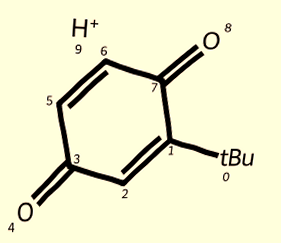 CC(C)(C)C1=CC(=O)C=CC1=O.[H+]